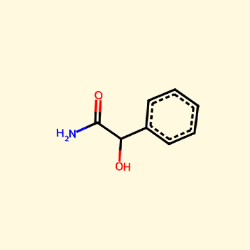 NC(=O)C(O)c1ccccc1